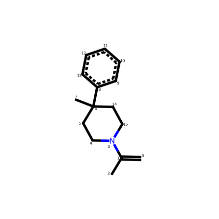 C=C(C)N1CCC(C)(c2ccccc2)CC1